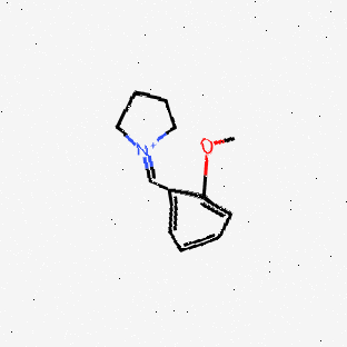 COc1ccccc1C=[N+]1CCCC1